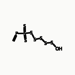 C=PS(=S)(=S)SSSSSO